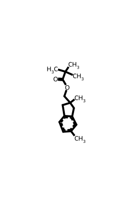 Cc1ccc2c(c1)CC(C)(COC(=O)C(C)(C)C)C2